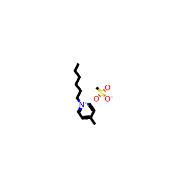 CCCCCC[n+]1ccc(C)cc1.CS(=O)(=O)[O-]